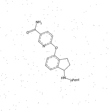 CCCCCNC1CCc2c(Oc3ccc(C(N)=O)cn3)cccc21